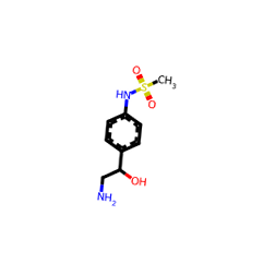 CS(=O)(=O)Nc1ccc(C(O)CN)cc1